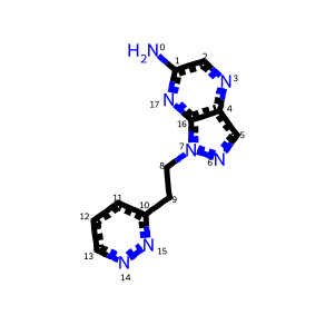 Nc1cnc2cnn(CCc3cccnn3)c2n1